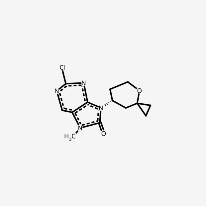 Cn1c(=O)n([C@@H]2CCOC3(CC3)C2)c2nc(Cl)ncc21